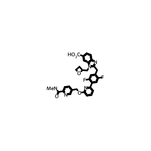 CNC(=O)c1ccc(COc2cccc(-c3cc(F)c(Cc4nc5ccc(C(=O)O)cc5n4CC4CCO4)cc3F)n2)cn1